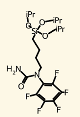 CC(C)O[Si](CCCCN(C(N)=O)c1c(F)c(F)c(F)c(F)c1F)(OC(C)C)OC(C)C